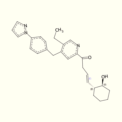 CCc1cnc(C(=O)C/C=C/[C@H]2CCCC[C@@H]2O)cc1Cc1ccc(-n2cccn2)cc1